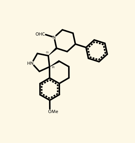 COc1ccc2c(c1)CCC[C@]21CNC[C@H]1C1CC(c2ccccc2)CCN1C=O